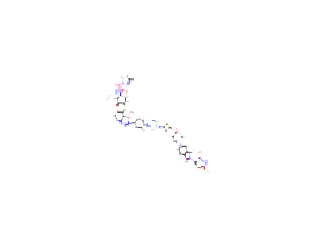 N#Cc1c(NS(=O)(=O)N2CC[C@@H](F)C2)ccc(F)c1Oc1ccc2ncn(-c3ccc(N4CCN(C5CC(OC6CCN(c7ccc8c(c7)CN(C7CCC(=O)NC7=O)C8=O)CC6)C5)CC4)cc3)c(=O)c2c1